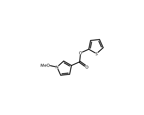 COn1ccc(C(=O)Oc2cccs2)c1